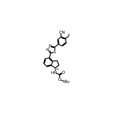 CC(C)(C)OC(=O)N[C@@H]1CCc2c(-c3nnc(-c4ccc(F)c(C#N)c4)s3)cccc21